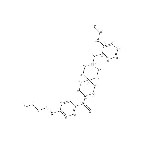 CCCCOc1ccc(C(=O)N2CCC3(CCN(Cc4ccccc4OCC)CC3)CC2)cc1